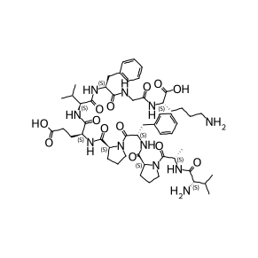 CC(C)[C@H](N)C(=O)N[C@@H](C)C(=O)N1CCC[C@H]1C(=O)N[C@@H](Cc1ccccc1)C(=O)N1CCC[C@H]1C(=O)N[C@@H](CCC(=O)O)C(=O)N[C@H](C(=O)N[C@@H](Cc1ccccc1)C(=O)NCC(=O)N[C@@H](CCCCN)C(=O)O)C(C)C